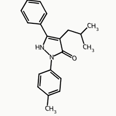 Cc1ccc(-n2[nH]c(-c3ccccc3)c(CC(C)C)c2=O)cc1